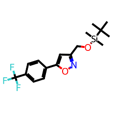 CC(C)(C)[Si](C)(C)OCc1cc(-c2ccc(C(F)(F)F)cc2)on1